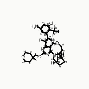 CC1(COc2nc3c4c(nc(-c5cc(N)cc(Cl)c5C(F)(F)F)c(F)c4n2)OCC[C@@H]2[C@@H]4CC[C@H](CN32)N4)CCOCC1